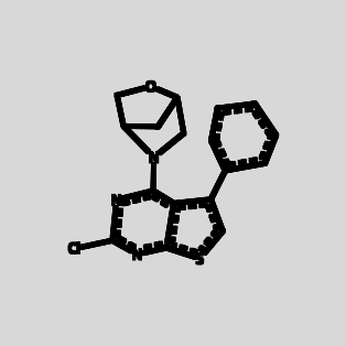 Clc1nc(N2CC3CC2CO3)c2c(-c3ccccc3)csc2n1